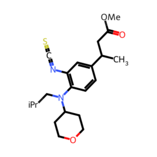 COC(=O)CC(C)c1ccc(N(CC(C)C)C2CCOCC2)c(N=C=S)c1